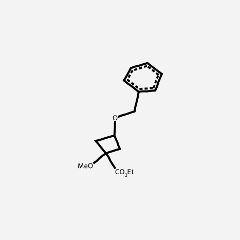 CCOC(=O)C1(OC)CC(OCc2ccccc2)C1